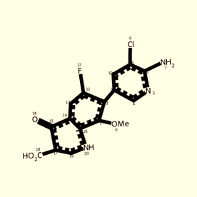 COc1c(-c2cnc(N)c(Cl)c2)c(F)cc2c(=O)c(C(=O)O)c[nH]c12